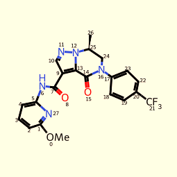 COc1cccc(NC(=O)c2cnn3c2C(=O)N(c2ccc(C(F)(F)F)cc2)C[C@@H]3C)n1